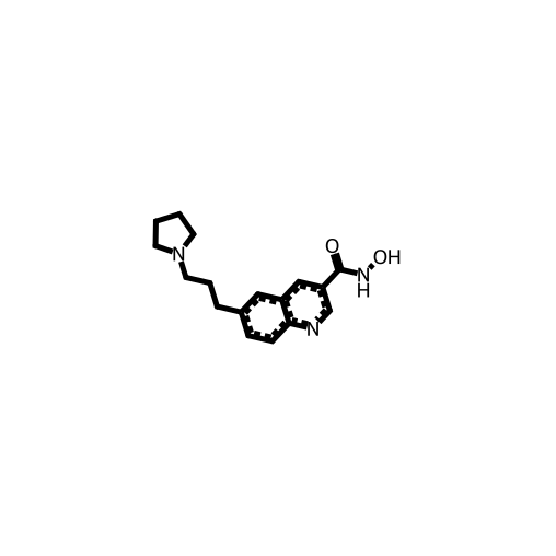 O=C(NO)c1cnc2ccc(CCCN3CCCC3)cc2c1